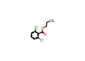 N#CCCOC(=O)c1c(Cl)cccc1Cl